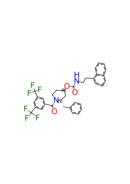 O=C(NCCc1cccc2ccccc12)O[C@@H]1CCN(C(=O)c2cc(C(F)(F)F)cc(C(F)(F)F)c2)[C@@H](Cc2ccccc2)C1